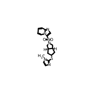 Cn1ccnc1S[C@H]1C[C@@H]2CN(S(=O)(=O)c3cnc4ccccn34)C[C@@H]2C1